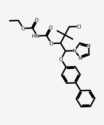 CCOC(=O)NC(=O)OC(C(Oc1ccc(-c2ccccc2)cc1)n1cncn1)C(C)(C)CCl